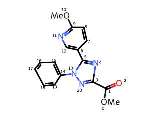 COC(=O)c1nc(-c2ccc(OC)nc2)n(-c2ccccc2)n1